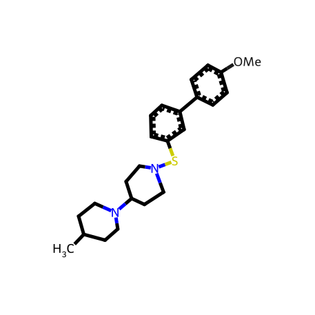 COc1ccc(-c2cccc(SN3CCC(N4CCC(C)CC4)CC3)c2)cc1